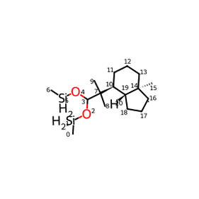 C[SiH2]OC(O[SiH2]C)C(C)(C)[C@H]1CCC[C@@]2(C)[CH]CC[C@H]12